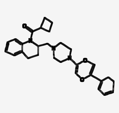 O=C(C1CCC1)N1c2ccccc2CCC1CN1CCN(C2=COC(C3=CC=CCC3)=CO2)CC1